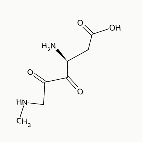 CNCC(=O)C(=O)[C@@H](N)CC(=O)O